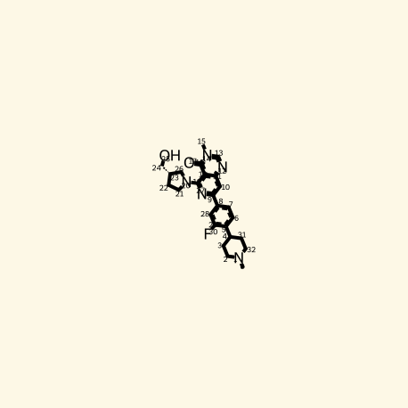 CN1CCC(c2ccc(-c3cc4ncn(C)c(=O)c4c(N4CC[C@H](CO)C4)n3)cc2F)CC1